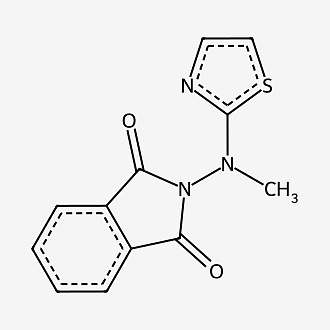 CN(c1nccs1)N1C(=O)c2ccccc2C1=O